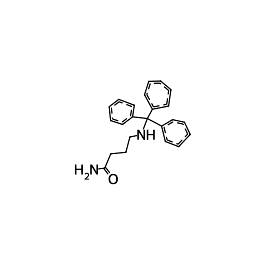 NC(=O)CCCNC(c1ccccc1)(c1ccccc1)c1ccccc1